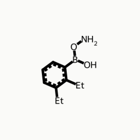 CCc1cccc(B(O)ON)c1CC